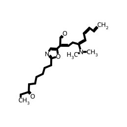 C=C/C=C\C=C(/C/C=C(\C=O)c1cnc(CCCCCCC(=O)CC)o1)N(C)C